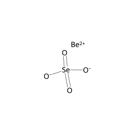 O=[Se](=O)([O-])[O-].[Be+2]